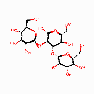 OC[C@H]1O[C@@H](O[C@@H]2[C@@H](O[C@@H]3O[C@H](CO)[C@@H](O)[C@H](O)[C@H]3O)[C@H](O)[C@@H](CO)O[C@H]2O)[C@H](O)[C@@H](O)[C@@H]1O